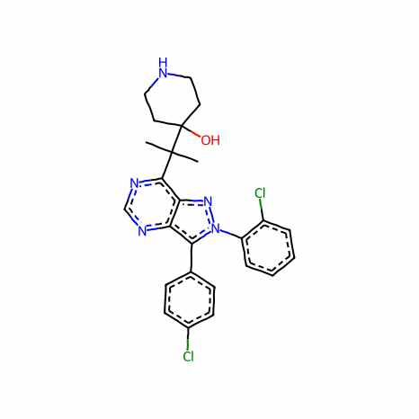 CC(C)(c1ncnc2c(-c3ccc(Cl)cc3)n(-c3ccccc3Cl)nc12)C1(O)CCNCC1